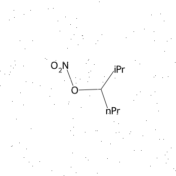 CCCC(O[N+](=O)[O-])C(C)C